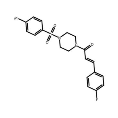 CC(C)c1ccc(S(=O)(=O)N2CCN(C(=O)C=Cc3ccc(F)cc3)CC2)cc1